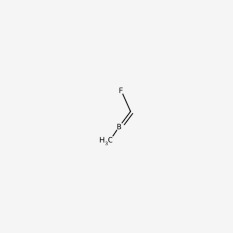 CB=CF